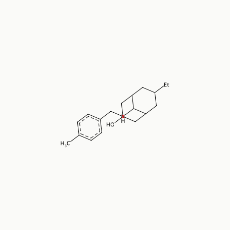 CCC1CC2CC(O)CC(C1)C2NCc1ccc(C)cc1